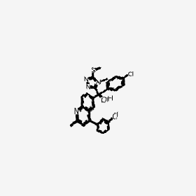 CSc1nnc(C(O)(c2ccc(Cl)cc2)c2ccc3nc(C)cc(-c4cccc(Cl)c4)c3c2)n1C